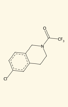 O=C(N1CCc2cc(Cl)ccc2C1)C(F)(F)F